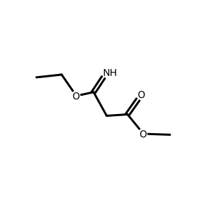 CCOC(=N)CC(=O)OC